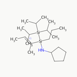 C/C=C(\C)[Si](CCC)(NC1CCCC1)[Si](C(C)C)(C(C)C)C(C)C